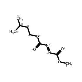 COC(=O)N=NC(=O)OCCC(C)C